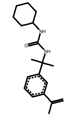 C=C(C)c1cccc(C(C)(C)NC(=O)NC2CCCCC2)c1